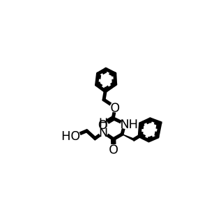 O=C(N[C@@H](Cc1ccccc1)C(=O)NCCO)OCc1ccccc1